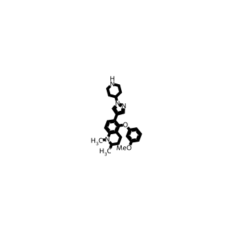 COc1cccc(Oc2c(-c3cnn(C4CCNCC4)c3)ccc3c2CCC(C)N3C)c1